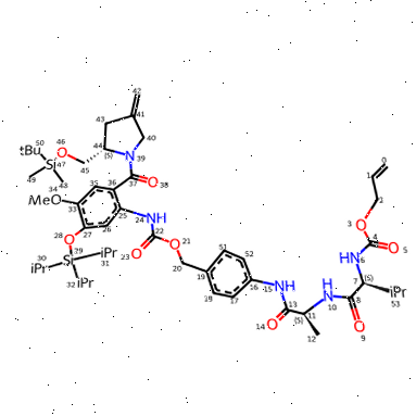 C=CCOC(=O)N[C@H](C(=O)N[C@@H](C)C(=O)Nc1ccc(COC(=O)Nc2cc(O[Si](C(C)C)(C(C)C)C(C)C)c(OC)cc2C(=O)N2CC(=C)C[C@H]2CO[Si](C)(C)C(C)(C)C)cc1)C(C)C